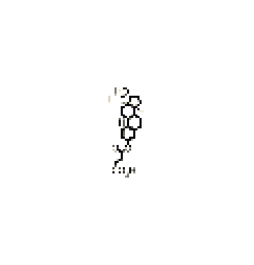 C[C@]12CC[C@@H]3c4ccc(OC(=O)CCC(=O)O)cc4CCC3[C@@H]1CC[C@@H]2O